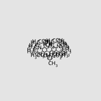 Cc1ccc(C2=c3c(C)c4c5c(c3Cc3c2c(C)c2c6c3C(C)(C)C(C)(C)C(C)(C)N6C(C)(C)C(C)(C)C2(C)C)C(C)(C)C(C)(C)C(C)(C)[N+]=5C(C)(C)C(C)(C)C4(C)C)c(C(=O)O)c1